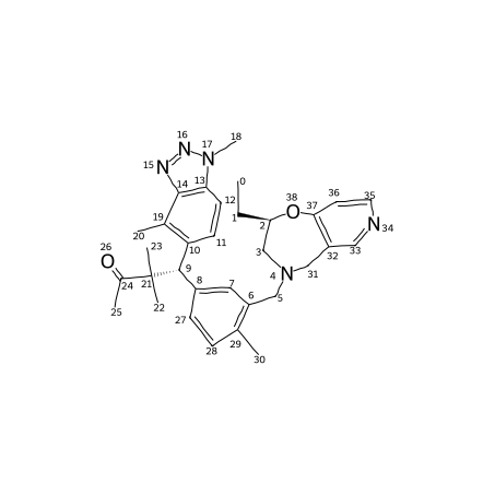 CC[C@@H]1CN(Cc2cc([C@@H](c3ccc4c(nnn4C)c3C)C(C)(C)C(C)=O)ccc2C)Cc2cnccc2O1